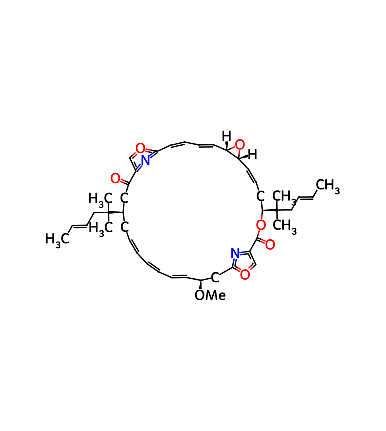 C/C=C/CC(C)(C)[C@@H]1C\C=C/C=C\C=C\[C@H](OC)Cc2nc(co2)C(=O)O[C@H](C(C)(C)C/C=C/C)C/C=C\[C@H]2O[C@H]2/C=C/C=C\c2nc(co2)C(=O)C1